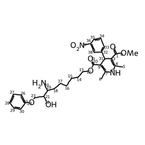 COC(=O)C1=C(C)NC(C)=C(C(=O)OCCCCCCC(N)C(O)COc2ccccc2)C1c1cccc([N+](=O)[O-])c1